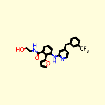 O=C(NCCO)c1cccc(Nc2cc(Cc3cccc(C(F)(F)F)c3)ccn2)c1-c1ccco1